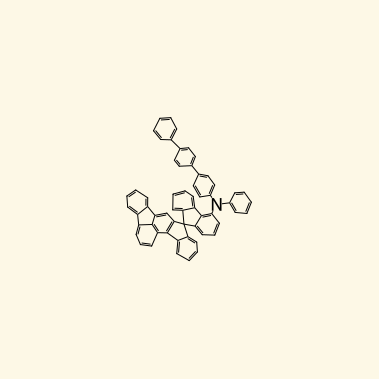 c1ccc(-c2ccc(-c3ccc(N(c4ccccc4)c4cccc5c4-c4ccccc4C54c5ccccc5-c5c4cc4c6c(cccc56)-c5ccccc5-4)cc3)cc2)cc1